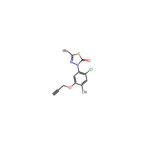 C#CCOc1cc(-n2nc(C(C)(C)C)sc2=O)c(Cl)cc1C#N